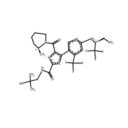 CC[C@H](Nc1cc(C(F)(F)F)c(-c2sc(C(=O)NCC(C)(C)O)nc2C(=O)N2CCCC[C@@H]2C)cn1)C(F)(F)F